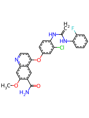 C=C(Nc1ccccc1F)Nc1ccc(Oc2ccnc3cc(OC)c(C(N)=O)cc23)cc1Cl